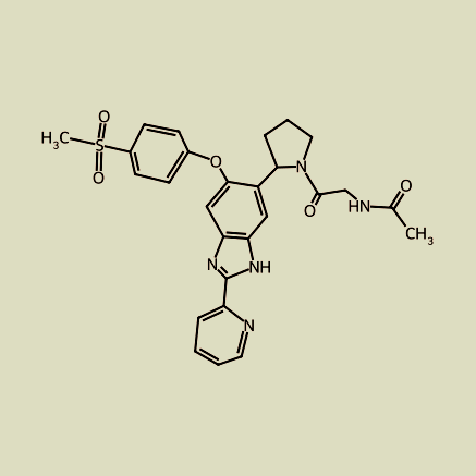 CC(=O)NCC(=O)N1CCCC1c1cc2[nH]c(-c3ccccn3)nc2cc1Oc1ccc(S(C)(=O)=O)cc1